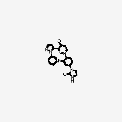 O=C1NCCN1c1ccc(-n2ccc(=O)c(-c3ccnn3-c3ccccc3)n2)c(F)c1